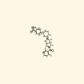 Cc1ccnc(C)c1C(=O)N1CC2CN(C3CCCC(c4ccc(C(N)=O)cc4)C3)CC2C1